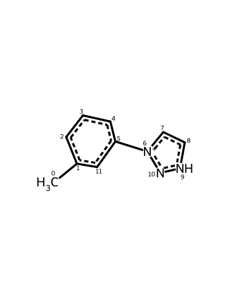 Cc1cccc(-[n+]2cc[nH]n2)c1